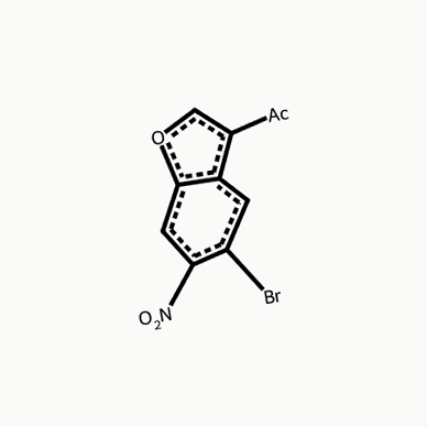 CC(=O)c1coc2cc([N+](=O)[O-])c(Br)cc12